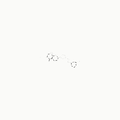 O=C(O)c1c[nH]c2nc(N3CCC(NCc4cccc(O)c4)C3)c(F)cc2c1=O